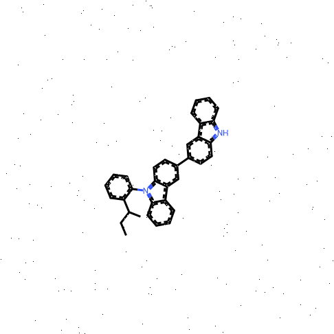 CCC(C)c1ccccc1-n1c2ccccc2c2cc(-c3ccc4[nH]c5ccccc5c4c3)ccc21